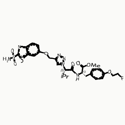 COC(=O)[C@H](Cc1ccc(OCCF)cc1)NC(=O)[C@H](C(C)C)n1cc(COc2ccc3nc(S(N)(=O)=O)sc3c2)nn1